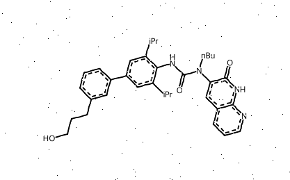 CCCCN(C(=O)Nc1c(C(C)C)cc(-c2cccc(CCCO)c2)cc1C(C)C)c1cc2cccnc2[nH]c1=O